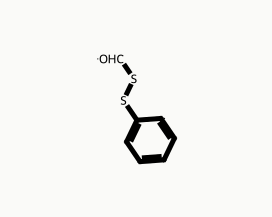 O=[C]SSc1[c]cccc1